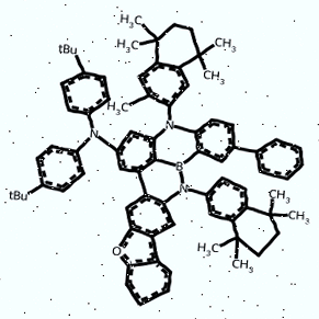 Cc1cc2c(cc1N1c3ccc(-c4ccccc4)cc3B3c4c(cc(N(c5ccc(C(C)(C)C)cc5)c5ccc(C(C)(C)C)cc5)cc41)-c1cc4oc5ccccc5c4cc1N3c1ccc3c(c1)C(C)(C)CCC3(C)C)C(C)(C)CCC2(C)C